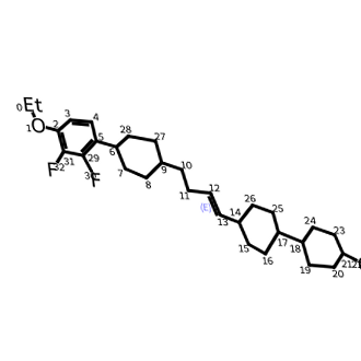 CCOc1ccc(C2CCC(CC/C=C/C3CCC(C4CCC(C)CC4)CC3)CC2)c(F)c1F